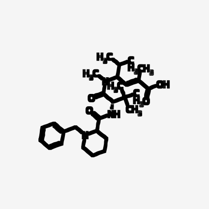 C/C(=C\C(C(C)C)N(C)C(=O)[C@@H](NC(=O)C1CCCCN1Cc1ccccc1)C(C)(C)C)C(=O)O